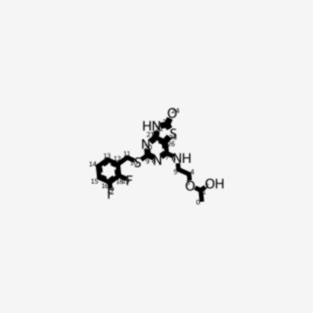 CC(O)OCCNc1nc(SCc2cccc(F)c2F)nc2[nH]c(=O)sc12